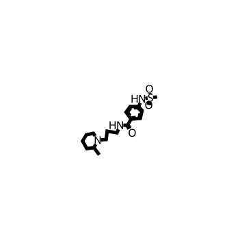 CC1CCCCN1CCCNC(=O)c1ccc(NS(C)(=O)=O)cc1